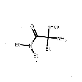 CCCCCCC(N)(CC)C(=O)N(CC)CC